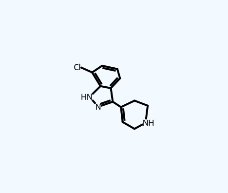 Clc1cccc2c(C3=CCNCC3)n[nH]c12